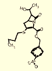 CCCCSC1=C(C(=O)OCc2ccc([N+](=O)[O-])cc2)N2C(=O)C(C(C)O)C2C1